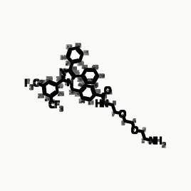 NCCOCCOCCNC(=O)c1ccc(Cn2c(-c3cc(C(F)(F)F)cc(C(F)(F)F)c3)nc(-c3ccccc3)c2-c2ccccc2)cc1